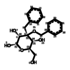 OC[C@H]1O[C@H](O)[C@H](O)[C@@](Cc2ccccc2)(OCc2ccccc2)[C@@H]1O